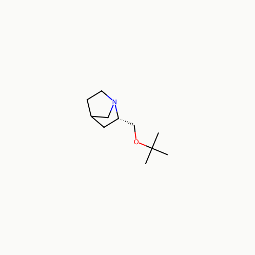 CC(C)(C)OC[C@@H]1CC2CCN1C2